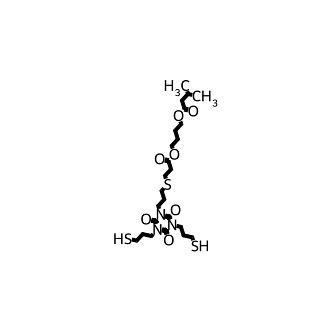 CC(C)CC(=O)OCCCCOC(=O)CCSCCCn1c(=O)n(CCCS)c(=O)n(CCCS)c1=O